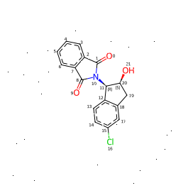 O=C1c2ccccc2C(=O)N1[C@@H]1c2ccc(Cl)cc2C[C@@H]1O